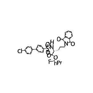 CCCC(F)OC(=O)[C@@H](CCCN1C(=O)c2ccccc2C1=O)NS(=O)(=O)c1ccc(-c2ccc(Cl)cc2)cc1